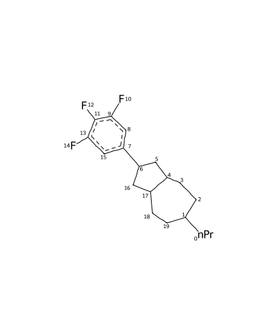 CCCC1CCC2CC(c3cc(F)c(F)c(F)c3)CC2CC1